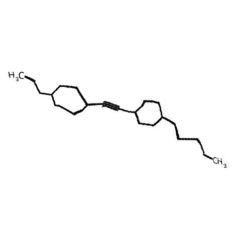 CCCCCC1CCC(C#CC2CCC(CCC)CC2)CC1